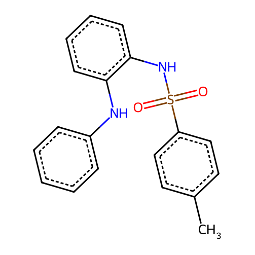 Cc1ccc(S(=O)(=O)Nc2ccccc2Nc2ccccc2)cc1